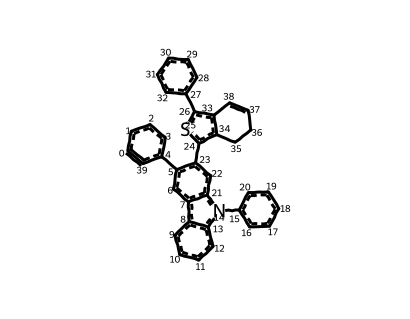 c1cccc(-c2cc3c4ccccc4n(-c4ccccc4)c3cc2-c2sc(-c3ccccc3)c3c2CCC=C3)c#1